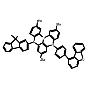 CC(C)(C)c1ccc2c(c1)B1c3cc(C(C)(C)C)ccc3N(c3ccc4c(c3)C(C)(C)c3ccccc3-4)c3cc(C(C)(C)C)cc(c31)N2c1ccc(-c2cccc3oc4ccccc4c23)cc1